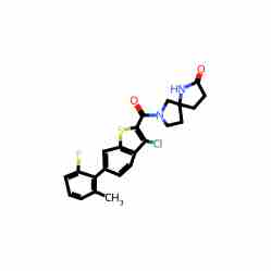 Cc1cccc(F)c1-c1ccc2c(Cl)c(C(=O)N3CCC4(CCC(=O)N4)C3)sc2c1